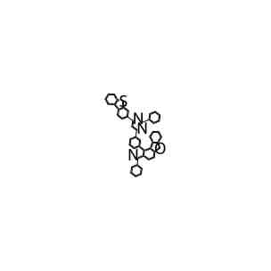 c1ccc(-c2nc(-c3ccc4c(c3)sc3ccccc34)cc(-c3ccc4nc(-c5ccccc5)c5ccc6oc7ccccc7c6c5c4c3)n2)cc1